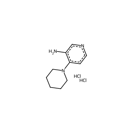 Cl.Cl.Nc1cnccc1N1CCCCC1